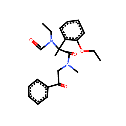 CCOc1ccccc1C(C)(C(=O)N(C)CC(=O)c1ccccc1)N(C=O)CC